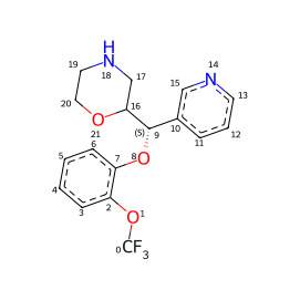 FC(F)(F)Oc1ccccc1O[C@@H](c1cccnc1)C1CNCCO1